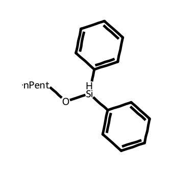 CCCC[CH]O[SiH](c1ccccc1)c1ccccc1